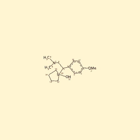 COc1ccc(C(CN(C)C)[Si]2(O)CCCC2)cc1